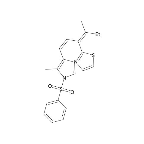 CC/C(C)=C(/C=C\c1ccn(S(=O)(=O)c2ccccc2)c1C)c1nccs1